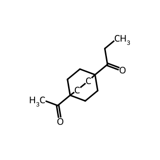 CCC(=O)C12CCC(C(C)=O)(CC1)CC2